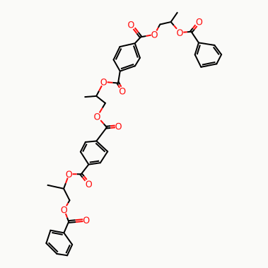 CC(COC(=O)c1ccc(C(=O)OC(C)COC(=O)c2ccc(C(=O)OC(C)COC(=O)c3ccccc3)cc2)cc1)OC(=O)c1ccccc1